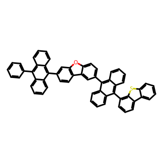 c1ccc(-c2c3ccccc3c(-c3ccc4c(c3)oc3ccc(-c5c6ccccc6c(-c6cccc7c6sc6ccccc67)c6ccccc56)cc34)c3ccccc23)cc1